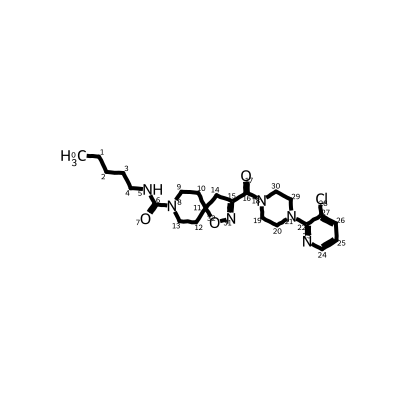 CCCCCNC(=O)N1CCC2(CC1)CC(C(=O)N1CCN(c3ncccc3Cl)CC1)=NO2